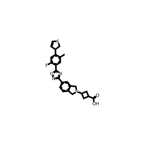 Cc1cc(-c2nc(-c3ccc4c(c3)CN(C3CC(C(=O)O)C3)C4)no2)c(F)cc1C1C=CSC1